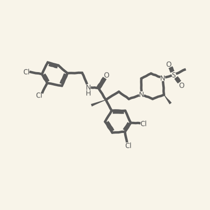 C[C@H]1CN(CC[C@@](C)(C(=O)NCc2ccc(Cl)c(Cl)c2)c2ccc(Cl)c(Cl)c2)CCN1S(C)(=O)=O